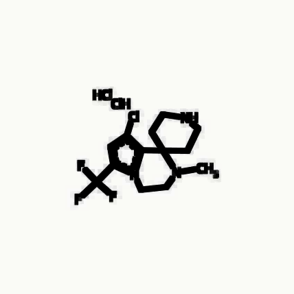 CN1CCn2c(C(F)(F)F)cc(Cl)c2C12CCNCC2.Cl.Cl